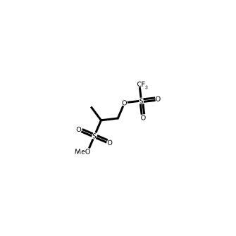 COS(=O)(=O)C(C)COS(=O)(=O)C(F)(F)F